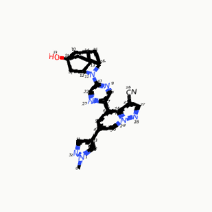 Cn1cc(-c2cc(-c3cnc(N4C5CC6CC4CC(O)(C6)C5)cn3)c3c(C#N)cnn3c2)cn1